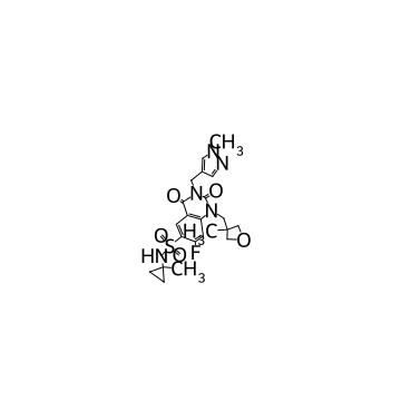 Cn1cc(Cn2c(=O)c3cc(S(=O)(=O)NC4(C)CC4)c(F)cc3n(CC3(C)COC3)c2=O)cn1